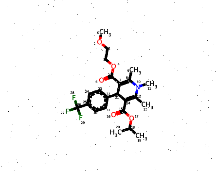 COCCOC(=O)C1=C(C)N(C)C(C)=C(C(=O)OC(C)C)C1c1ccc(C(F)(F)F)cc1